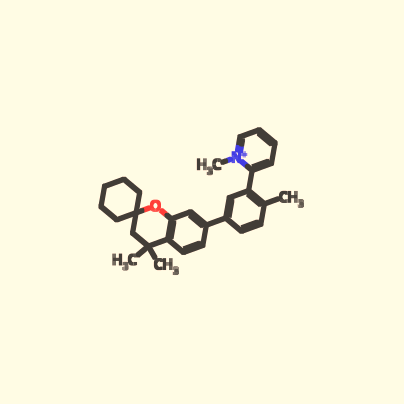 Cc1ccc(-c2ccc3c(c2)OC2(CCCCC2)CC3(C)C)cc1-c1cccc[n+]1C